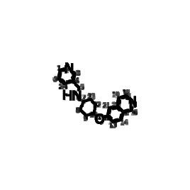 c1cncc(CN[C@H]2CC[C@@H](Oc3ccc4cnccc4c3)CC2)c1